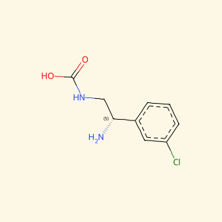 N[C@H](CNC(=O)O)c1cccc(Cl)c1